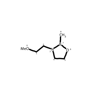 COCCN1CCOB1C